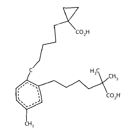 Cc1ccc(CCCCCC2(C(=O)O)CC2)c(CCCCC(C)(C)C(=O)O)c1